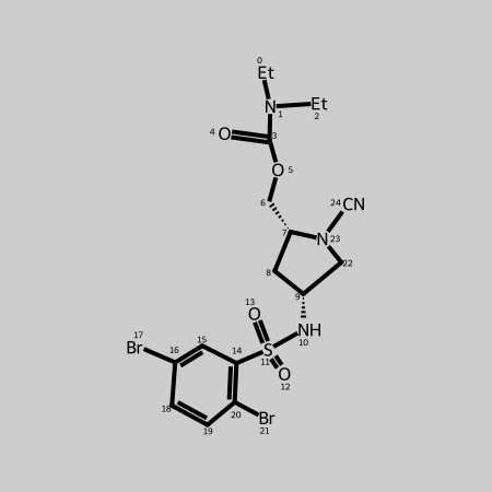 CCN(CC)C(=O)OC[C@H]1C[C@@H](NS(=O)(=O)c2cc(Br)ccc2Br)CN1C#N